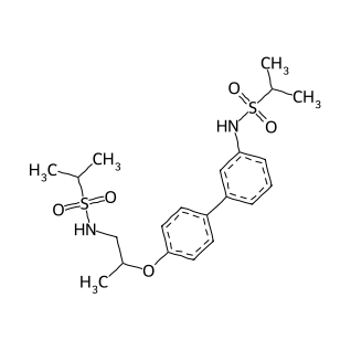 CC(CNS(=O)(=O)C(C)C)Oc1ccc(-c2cccc(NS(=O)(=O)C(C)C)c2)cc1